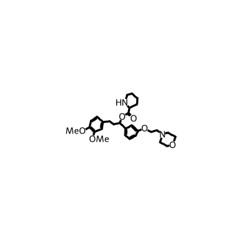 COc1ccc(CCC(OC(=O)C2CCCCN2)c2cccc(OCCN3CCOCC3)c2)cc1OC